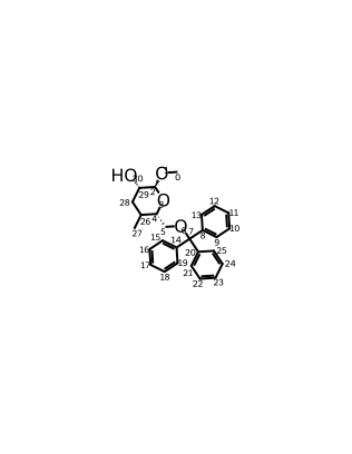 CO[C@H]1O[C@H](COC(c2ccccc2)(c2ccccc2)c2ccccc2)C(C)C[C@@H]1O